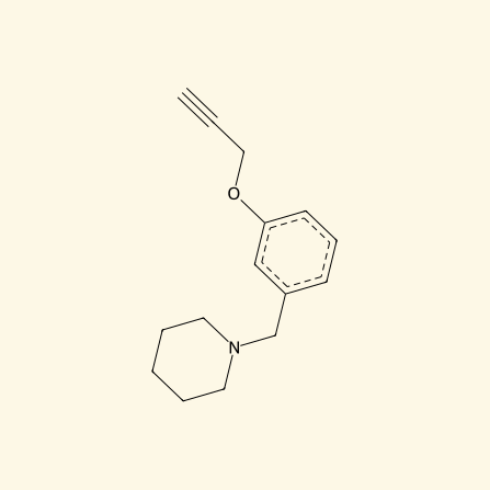 C#CCOc1cccc(CN2CCCCC2)c1